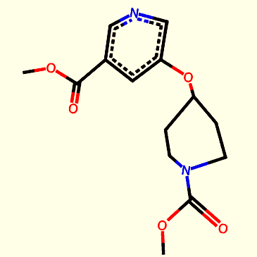 COC(=O)c1cncc(OC2CCN(C(=O)OC)CC2)c1